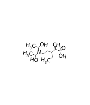 C=C(C(=O)O)C(CC)CCN(C(C)O)C(C)O